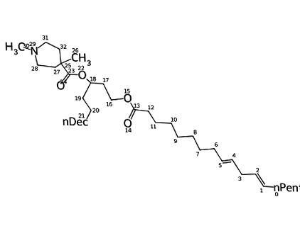 CCCCCC=CCC=CCCCCCCCC(=O)OCCC(CCCCCCCCCCCC)OC(=O)C1(C)CCN(C)CC1